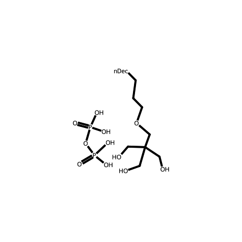 CCCCCCCCCCCCCOCC(CO)(CO)CO.O=P(O)(O)OP(=O)(O)O